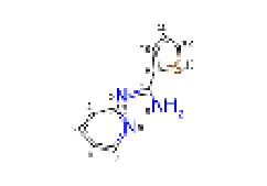 NC(=Nc1ccccn1)c1cccs1